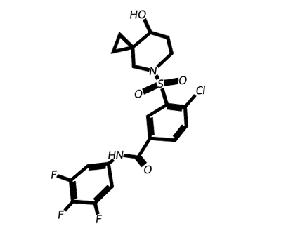 O=C(Nc1cc(F)c(F)c(F)c1)c1ccc(Cl)c(S(=O)(=O)N2CCC(O)C3(CC3)C2)c1